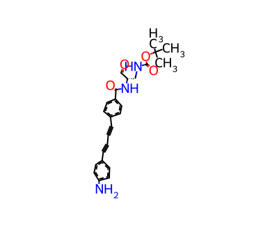 CC(C)(C)OC(=O)NC[C@@H](C=O)NC(=O)c1ccc(C#CC#Cc2ccc(N)cc2)cc1